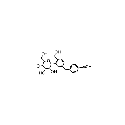 C#Cc1ccc(Cc2ccc(CO)c([C@@H]3O[C@H](CO)[C@@H](O)[C@H](O)[C@H]3O)c2)cc1